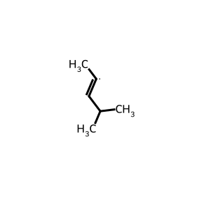 C/[C]=C/C(C)C